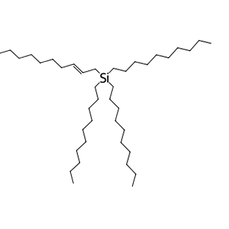 CCCCCCC/C=C/C[Si](CCCCCCCCCC)(CCCCCCCCCC)CCCCCCCCCC